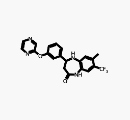 Cc1cc2c(cc1C(F)(F)F)NC(=O)CC(c1cccc(Oc3cnccn3)c1)N2